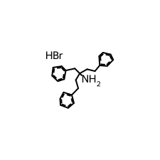 Br.NC(CCc1ccccc1)(CCc1ccccc1)Cc1ccccc1